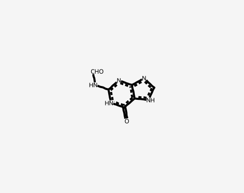 O=CNc1nc2nc[nH]c2c(=O)[nH]1